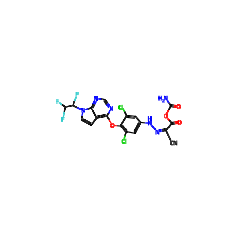 N#CC(=NNc1cc(Cl)c(Oc2ncnc3c2ccn3C(F)C(F)F)c(Cl)c1)C(=O)OC(N)=O